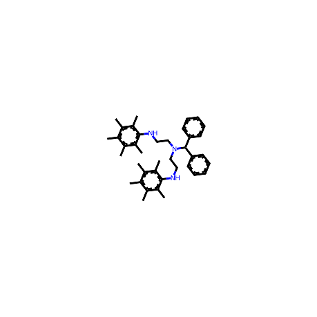 Cc1c(C)c(C)c(NCCN(CCNc2c(C)c(C)c(C)c(C)c2C)[C](c2ccccc2)c2ccccc2)c(C)c1C